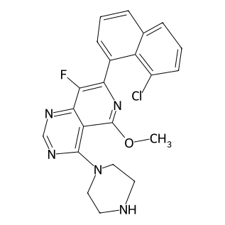 COc1nc(-c2cccc3cccc(Cl)c23)c(F)c2ncnc(N3CCNCC3)c12